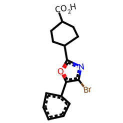 O=C(O)C1CCC(c2nc(Br)c(-c3ccccc3)o2)CC1